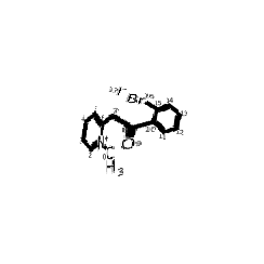 C[n+]1ccccc1CC(=O)c1ccccc1Br.[I-]